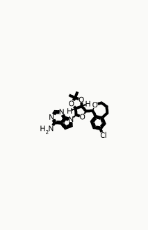 CC1(C)O[C@H]2[C@@H](O1)[C@H](n1ccc3c(N)ncnc31)O[C@@H]2[C@@H]1OCCCc2cc(Cl)ccc21